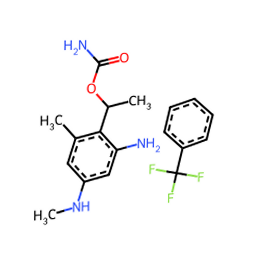 CNc1cc(C)c(C(C)OC(N)=O)c(N)c1.FC(F)(F)c1ccccc1